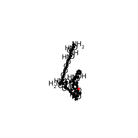 CO[C@H]([C@@H](C)C(=O)N[C@@H](Cc1ccccc1)C(=O)O)[C@@H]1CCC2C[C@H](C)[C@H](N(C)C(=O)[C@@H](NC(=O)[C@H](C(C)C)N(C)C(=O)CCCCCNC(=O)C(CC(=O)O)SCC(NC(=O)CCOCCOCCOCCOCCNC(=O)CNC(=O)CNC(=O)CN)C(N)=O)C(C)C)[C@H](OC)CC(=O)N21